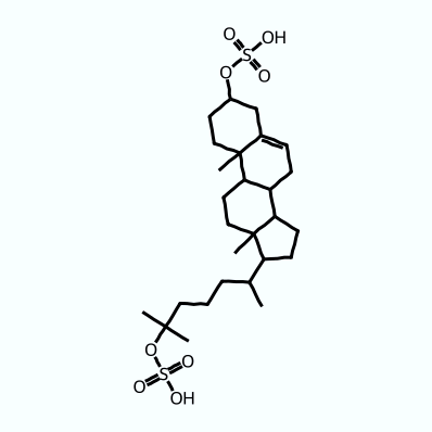 CC(CCCC(C)(C)OS(=O)(=O)O)C1CCC2C3CC=C4CC(OS(=O)(=O)O)CCC4(C)C3CCC12C